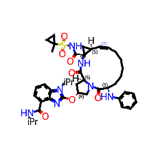 CC(C)NC(=O)c1cccc2c1nc(O[C@@H]1C[C@H]3C(=O)N[C@]4(C(=O)NS(=O)(=O)C5(C)CC5)C[C@H]4/C=C\CCCCC[C@H](Nc4ccccc4)C(=O)N3C1)n2C(C)C